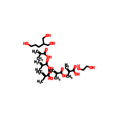 C=C(C)C(=O)O.C=C(C)C(=O)O.C=C(C)C(=O)O.C=C(C)C(=O)O.C=C(C)C(=O)O.OCCCC(CO)CO.OCCO